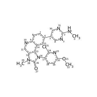 CNc1ncc(-c2ccc3ncc4c(c3c2)n(-c2ccc(OC)nc2Cl)c(=O)n4C)cn1